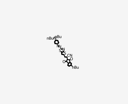 CCCCc1ccc2c(c1)C(=O)C(/C(C#N)=C/c1cc3sc(/N=N/c4ccc(N(CCCC)CCCC)cc4)nc3s1)C2=O